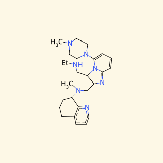 CCNCC1C(CN(C)[C@H]2CCCc3cccnc32)N=C2C=CC=C(N3CCN(C)CC3)N21